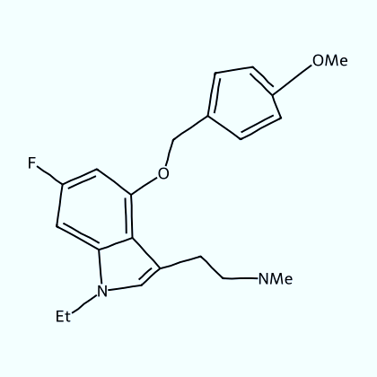 CCn1cc(CCNC)c2c(OCc3ccc(OC)cc3)cc(F)cc21